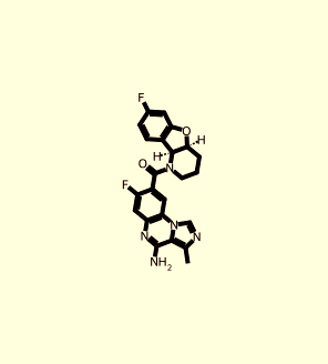 Cc1ncn2c1c(N)nc1cc(F)c(C(=O)N3CCC[C@@H]4Oc5cc(F)ccc5[C@@H]43)cc12